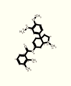 COc1ccc(C23CC=C(OC(=O)c4cccc(C)c4C)CC2N(C)CC3)cc1OC